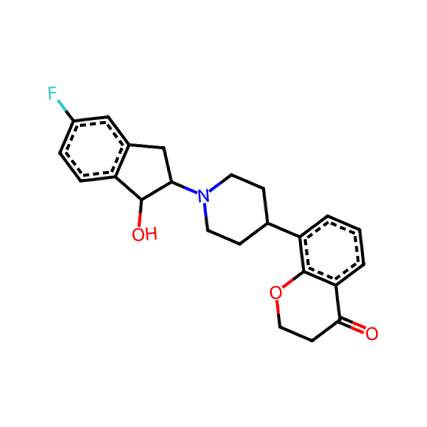 O=C1CCOc2c1cccc2C1CCN(C2Cc3cc(F)ccc3C2O)CC1